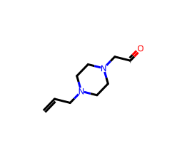 C=CCN1CCN(C[C]=O)CC1